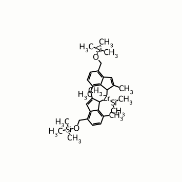 CC1=Cc2c(CO[Si](C)(C)C)ccc(C)c2[CH]1[Zr]([CH]1C(C)=Cc2c(CO[Si](C)(C)C)ccc(C)c21)=[Si](C)C